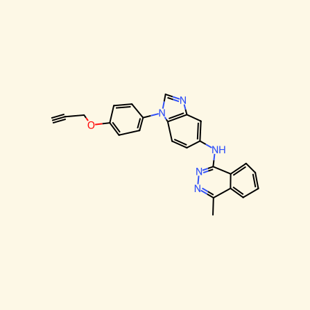 C#CCOc1ccc(-n2cnc3cc(Nc4nnc(C)c5ccccc45)ccc32)cc1